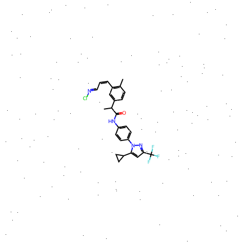 Cc1ccc(C(C)C(=O)Nc2ccc(-n3nc(C(F)(F)F)cc3C3CC3)cc2)cc1/C=C\C=NCl